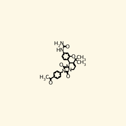 CC(=O)c1ccc(-n2c(=O)n3n(c2=O)C2C(=CC3)C(C)(C)Oc3cc(NC(N)=O)ccc32)cc1